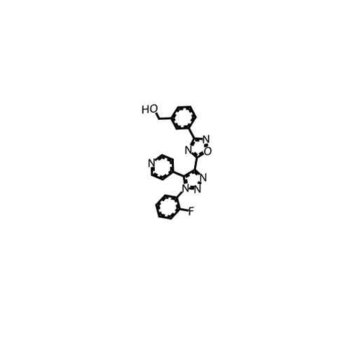 OCc1cccc(-c2noc(-c3nnn(-c4ccccc4F)c3-c3ccncc3)n2)c1